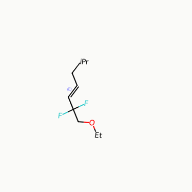 CCOCC(F)(F)/C=C/CC(C)C